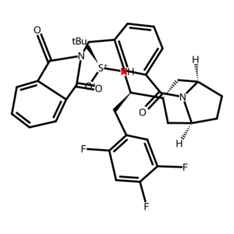 CC(C)(C)[S@+]([O-])N[C@H](Cc1cc(F)c(F)cc1F)[C@@H]1C[C@H]2CC[C@@H](C1)N2C(=O)c1cccc(CN2C(=O)c3ccccc3C2=O)c1